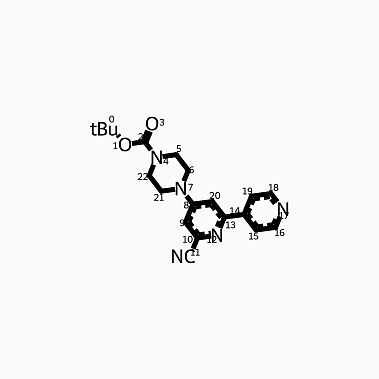 CC(C)(C)OC(=O)N1CCN(c2cc(C#N)nc(-c3ccncc3)c2)CC1